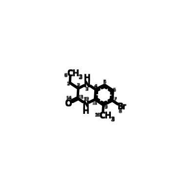 CCC1Nc2ccc(Br)c(C)c2NC1=O